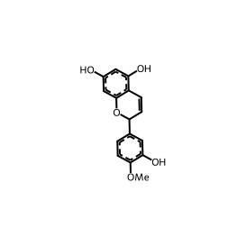 COc1ccc(C2C=Cc3c(O)cc(O)cc3O2)cc1O